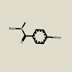 CCCCCc1ccc(C(=O)N(C)OC)cc1